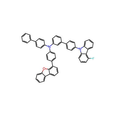 Fc1cccc2c1c1ccccc1n2-c1ccc(-c2cccc(N(c3ccc(-c4ccccc4)cc3)c3ccc(-c4cccc5c4oc4ccccc45)cc3)c2)cc1